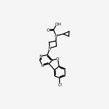 O=C(O)N(C1CC1)C1CN(c2ncnc3c2oc2ccc(Cl)cc23)C1